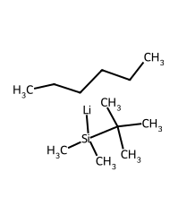 CCCCCC.[Li][Si](C)(C)C(C)(C)C